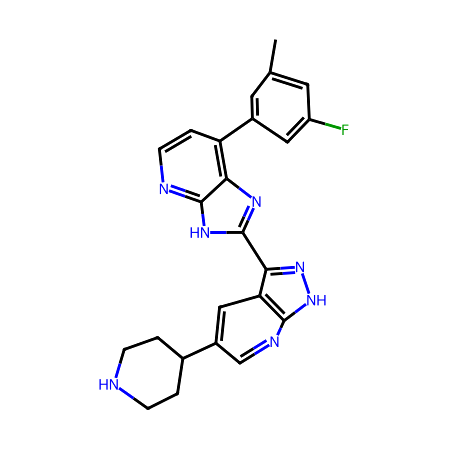 Cc1cc(F)cc(-c2ccnc3[nH]c(-c4n[nH]c5ncc(C6CCNCC6)cc45)nc23)c1